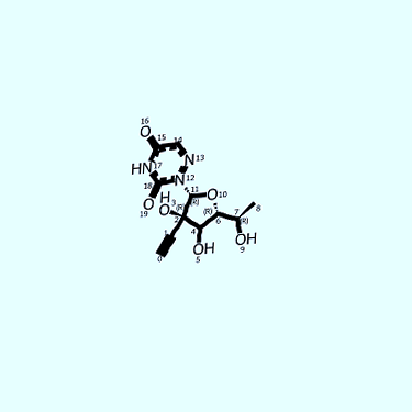 C#C[C@@]1(O)C(O)[C@@H]([C@@H](C)O)O[C@H]1n1ncc(=O)[nH]c1=O